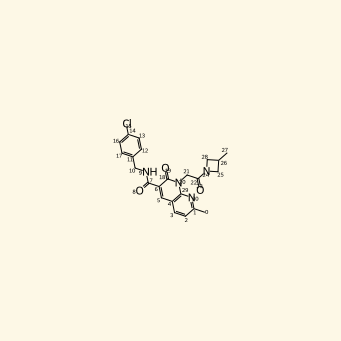 Cc1ccc2cc(C(=O)NCc3ccc(Cl)cc3)c(=O)n(CC(=O)N3CC(C)C3)c2n1